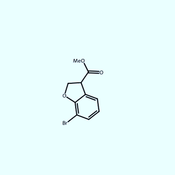 COC(=O)C1COc2c(Br)cccc21